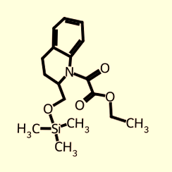 CCOC(=O)C(=O)N1c2ccccc2CCC1CO[Si](C)(C)C